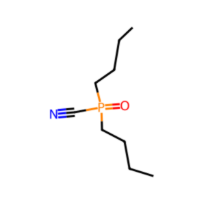 CCCCP(=O)(C#N)CCCC